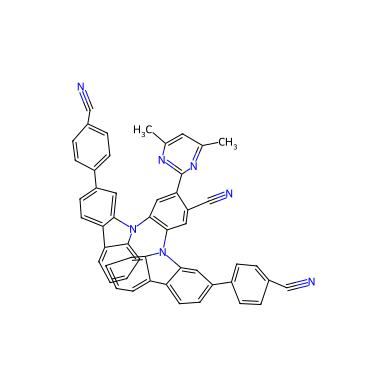 Cc1cc(C)nc(-c2cc(-n3c4ccccc4c4ccc(-c5ccc(C#N)cc5)cc43)c(-n3c4ccccc4c4ccc(-c5ccc(C#N)cc5)cc43)cc2C#N)n1